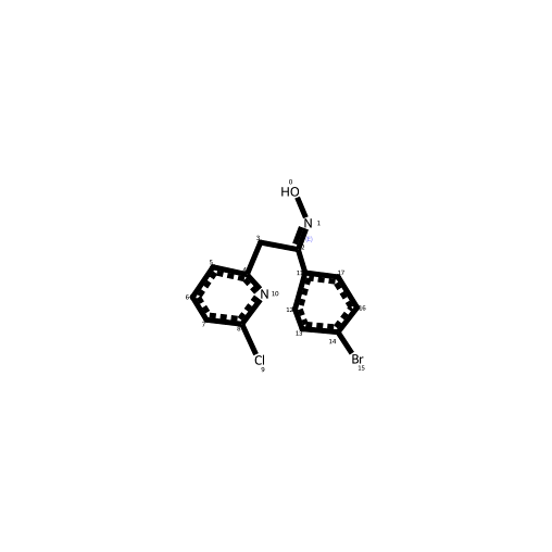 O/N=C(\Cc1cccc(Cl)n1)c1ccc(Br)cc1